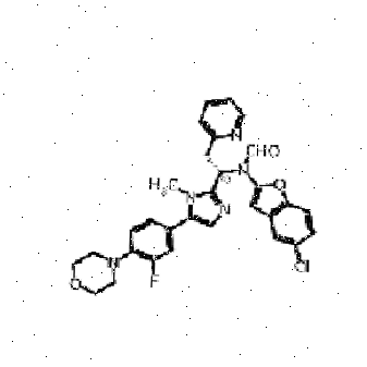 Cn1c(-c2ccc(N3CCOCC3)c(F)c2)cnc1[C@H](Cc1ccccn1)N(C=O)c1cc2cc(Cl)ccc2o1